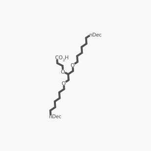 CCCCCCCCCCCCCCCCOCC(COCCCCCCCCCCCCCCCC)OCCC(=O)O